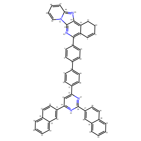 C1=Cc2c(-c3ccc(-c4ccc(-c5cc(-c6ccc7ccccc7c6)nc(-c6ccc7ccccc7c6)n5)cc4)cc3)nc3c(nc4ccccn43)c2CC1